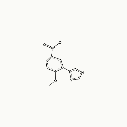 COc1ccc([N+](=O)[O-])cc1-c1cncs1